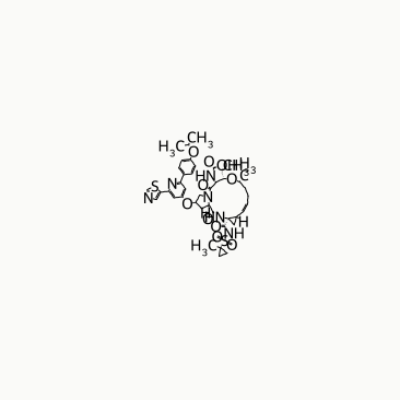 CC[C@@H]1O[C@H](C)CC/C=C\[C@@H]2C[C@@]2(C(=O)NS(=O)(=O)C2(C)CC2)NC(=O)[C@@H]2C[C@@H](Oc3cc(-c4ccc(OC(C)C)cc4)nc(-c4cncs4)c3)CN2C(=O)[C@H]1NC(=O)O